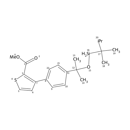 COC(=O)c1sccc1-c1ccc(C(C)(C)O[SiH2]C(C)(C)C(C)C)cc1